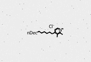 CCCCCCCCCCCCCCCCc1cc[n+](C)c(C)c1C.[Cl-]